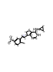 Cc1ccc([N+](=O)[O-])cc1/C=C/C1CSC2=C1N=CNC2NC1CC1